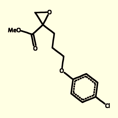 COC(=O)C1(CCCOc2ccc(Cl)cc2)CO1